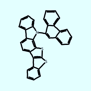 c1ccc2c(c1)cc(-n1c3ccccc3c3ccc4c(sc5sc6ccccc6c54)c31)c1ccccc12